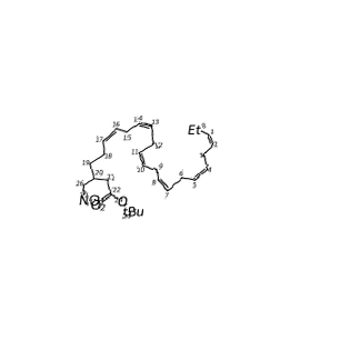 CC/C=C\C/C=C\C/C=C\C/C=C\C/C=C\C/C=C\CCC(CC(=O)OC(C)(C)C)C[N+](=O)[O-]